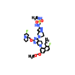 CCc1c(F)ccc2cc(OCOC)cc(N3CCc4c(nc(OC[C@@]56CCCN5C[C@H](F)C6)nc4N4CCCn5nc(NCS(=O)(=O)NC)cc5C4)C3)c12